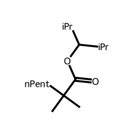 CCCCCC(C)(C)C(=O)OC(C(C)C)C(C)C